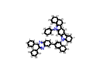 c1ccc(-c2nc3ccc(-c4cc(-n5c6ccccc6c6cc7c8ccc9ccccc9c8n(-c8ccccc8)c7cc65)c5ccccc5c4)cc3nc2-c2ccccc2)cc1